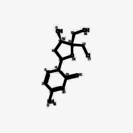 Nc1cnn(C2C[C@H](O)[C@](CO)(CCl)O2)c(=O)n1